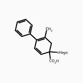 CCCCCCCC1(C(=O)O)C=CC(c2ccccc2)=C(C)C1